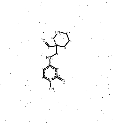 Cn1ccc(NCC2(C=O)CCCNC2)cc1=O